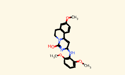 COc1ccc2c(c1)CCN1C2=CC(Nc2c(OC)cccc2OC)N=C1O